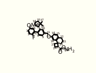 COc1ccc(F)c(-c2ccc(COc3ccc4c(c3)[C@@]3(CCC4)CC[C@H]3C(=O)ON)cc2[C@@H]2CCCC2(C)C)c1